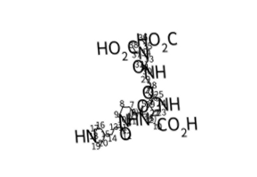 O=C(O)C[C@H](NC(=O)[C@@H]1CCCN(C(=O)CCC2CCNCC2)C1)C1=CNCC(OCCNC(=O)CN(CC(=O)O)CC(=O)O)=C1